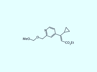 CCOC(=O)C=C(c1ccnc(COCOC)c1)C1CC1